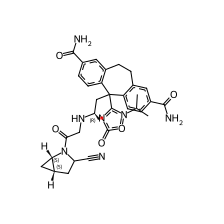 CC(C)n1oc(=O)nc1C1(C[C@@H](C)NCC(=O)N2C(C#N)C[C@@H]3C[C@@H]32)c2ccc(C(N)=O)cc2CCc2cc(C(N)=O)ccc21